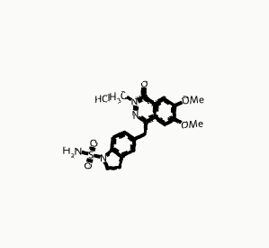 COc1cc2c(Cc3ccc4c(c3)CCN4S(N)(=O)=O)nn(C)c(=O)c2cc1OC.Cl